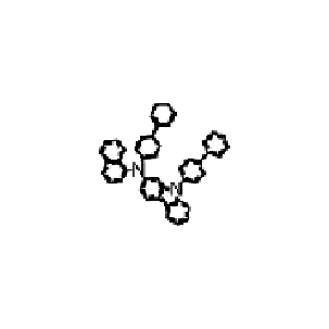 C1=CC(C2C=CC(N(c3ccc4c5ccccc5n(-c5ccc(-c6ccccc6)cc5)c4c3)c3cccc4ccccc34)=CC2)=CCC1